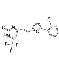 O=c1nc(C=Cc2ccc(-c3ccccc3F)o2)cc(C(F)(F)F)[nH]1